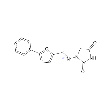 O=C1CN(/N=C/c2ccc(-c3ccccc3)o2)C(=O)N1